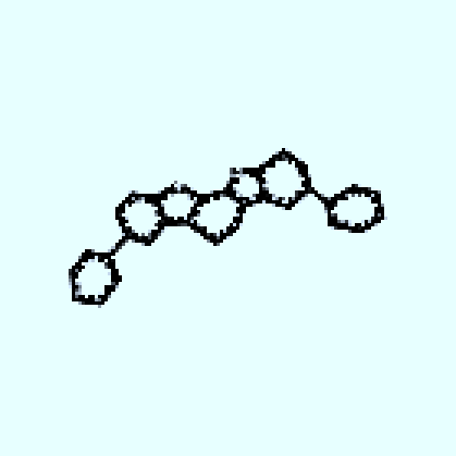 c1ccc(-c2ccc3[nH]c4c(ccc5c6cc(-c7ccccc7)ccc6sc54)c3c2)cc1